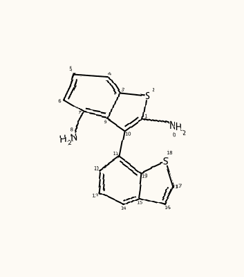 Nc1sc2cccc(N)c2c1-c1cccc2ccsc12